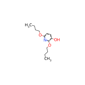 CCCCOc1ccc(O)c(OCCCC)n1